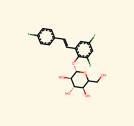 OCC1O[C@@H](Oc2c(F)cc(F)cc2/C=C/c2ccc(F)cc2)[C@H](O)[C@@H](O)[C@@H]1O